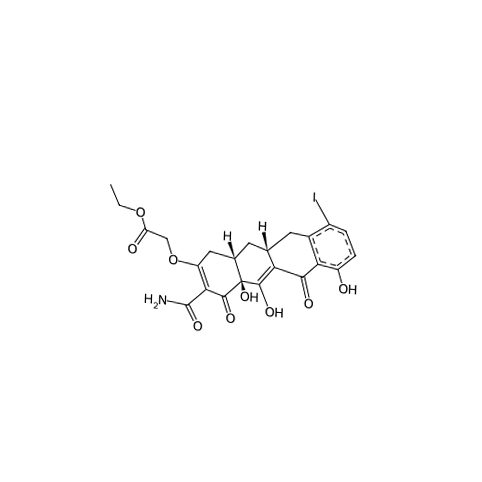 CCOC(=O)COC1=C(C(N)=O)C(=O)[C@@]2(O)C(O)=C3C(=O)c4c(O)ccc(I)c4C[C@H]3C[C@H]2C1